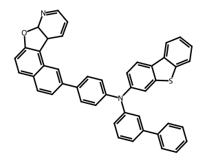 C1=CC2c3c(ccc4ccc(-c5ccc(N(c6cccc(-c7ccccc7)c6)c6ccc7c(c6)sc6ccccc67)cc5)cc34)OC2N=C1